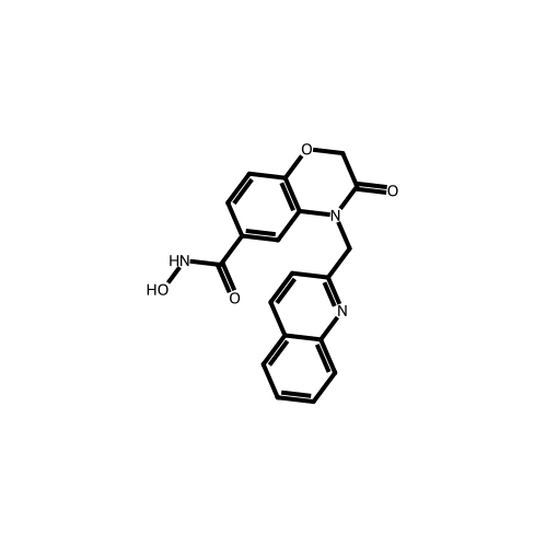 O=C(NO)c1ccc2c(c1)N(Cc1ccc3ccccc3n1)C(=O)CO2